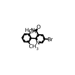 Cc1cccc(C)c1-c1ncc(Br)cc1C(N)=O